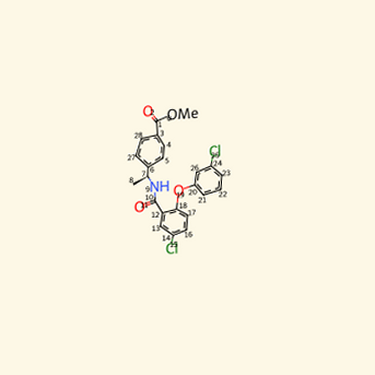 COC(=O)c1ccc([C@H](C)NC(=O)c2cc(Cl)ccc2Oc2cccc(Cl)c2)cc1